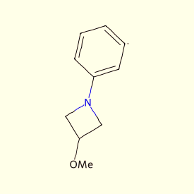 COC1CN(c2c[c]ccc2)C1